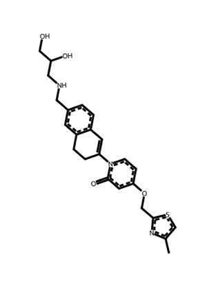 Cc1csc(COc2ccn(C3=Cc4ccc(CNCC(O)CO)cc4CC3)c(=O)c2)n1